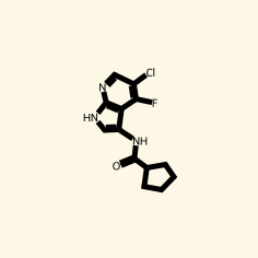 O=C(Nc1c[nH]c2ncc(Cl)c(F)c12)C1CCCC1